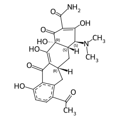 CC(=O)c1ccc(O)c2c1C[C@H]1C[C@H]3[C@H](N(C)C)C(O)=C(C(N)=O)C(=O)[C@]3(O)C(O)=C1C2=O